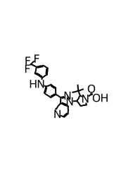 CC(C)(C)C1C(n2nc(-c3ccc(Nc4cccc(C(F)(F)F)c4)cc3)c3cnccc32)CCN1C(=O)O